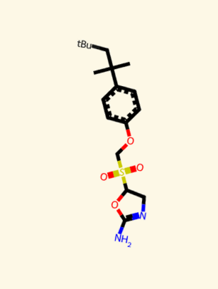 CC(C)(C)CC(C)(C)c1ccc(OCS(=O)(=O)C2CN=C(N)O2)cc1